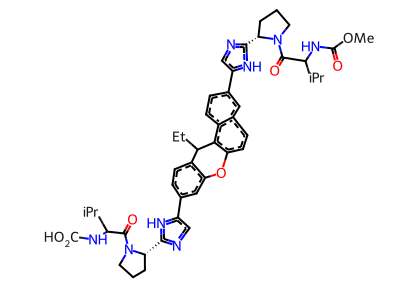 CCC1c2ccc(-c3cnc([C@@H]4CCCN4C(=O)C(NC(=O)O)C(C)C)[nH]3)cc2Oc2ccc3cc(-c4cnc([C@@H]5CCCN5C(=O)C(NC(=O)OC)C(C)C)[nH]4)ccc3c21